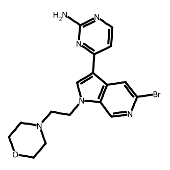 Nc1nccc(-c2cn(CCN3CCOCC3)c3cnc(Br)cc23)n1